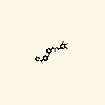 O=C(NN=Cc1cc(Br)c(O)c(Br)c1)c1cccc(Oc2ccc(C(=O)N3CCCC3)cc2)c1